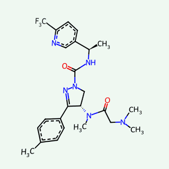 Cc1ccc(C2=NN(C(=O)N[C@H](C)c3ccc(C(F)(F)F)nc3)C[C@@H]2N(C)C(=O)CN(C)C)cc1